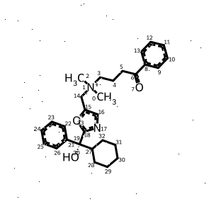 C[N+](C)(CCCC(=O)c1ccccc1)Cc1cnc([C@](O)(c2ccccc2)C2CCCCC2)o1